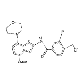 COc1ccc(N2CCOCC2)c2sc(NC(=O)c3ccc(CCl)c(F)c3)nc12